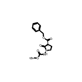 CC(C)(C)OC(=O)NN1CC[C@H](C(=O)OCc2ccccc2)C1=O